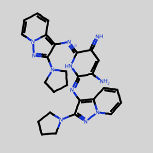 N=C1C=C(N)C(=Nc2c(N3CCCC3)nn3ccccc23)N/C1=N\c1c(N2CCCC2)nn2ccccc12